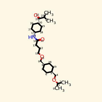 CC(C)OC[C@H]1CC[C@@H](COCCCC(=O)N[C@H]2CC[C@@H](C(=O)C(C)C)CC2)CC1